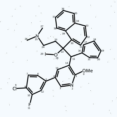 COc1ncc(-c2ccc(Cl)c(F)c2)cc1C(c1ccccc1)C(CCN(C)C)(OI)c1cccc2ccccc12